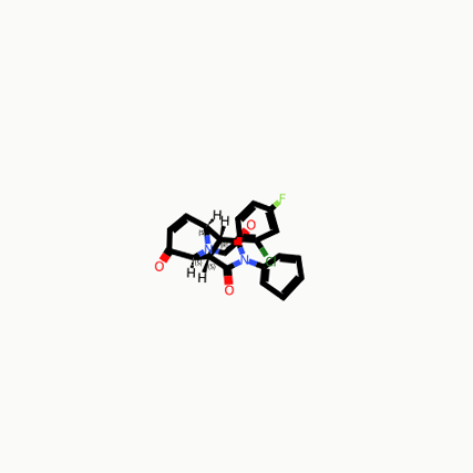 O=C1C=C[C@H]2[C@@H]3C(=O)N(c4ccccc4)C(=O)[C@@H]3[C@@H]1N2Cc1ccc(F)cc1Cl